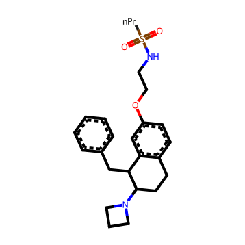 CCCS(=O)(=O)NCCOc1ccc2c(c1)C(Cc1ccccc1)C(N1CCC1)CC2